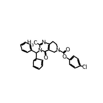 Cc1nc2c(c(=O)n1C(c1ccccc1)c1ccccc1)CN(C(=O)Oc1ccc(Cl)cc1)CC2